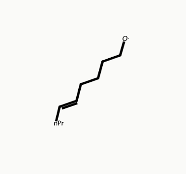 CCCC=CCCCC[O]